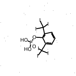 O=P(O)(O)Oc1c(C(I)(I)I)cccc1C(I)(I)I